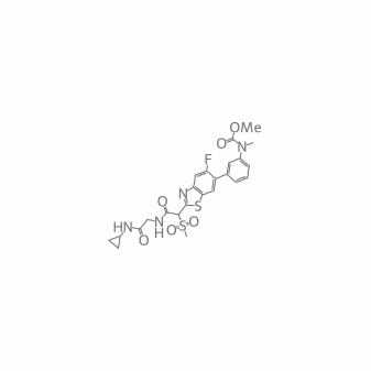 COC(=O)N(C)c1cccc(-c2cc3sc(C(C(=O)NCC(=O)NC4CC4)S(C)(=O)=O)nc3cc2F)c1